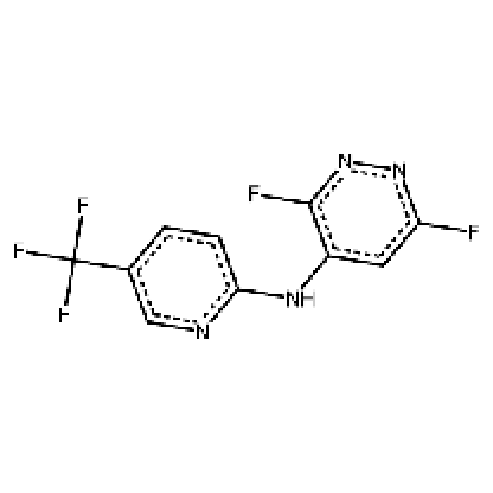 Fc1cc(Nc2ccc(C(F)(F)F)cn2)c(F)nn1